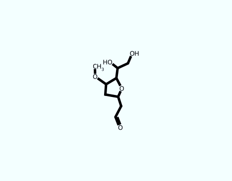 COC1CC(CC=O)OC1C(O)CO